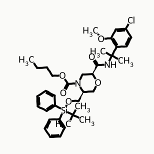 CCCCOC(=O)N1C[C@@H](C(=O)NC(C)(C)c2ccc(Cl)cc2OC)OC[C@H]1CO[Si](c1ccccc1)(c1ccccc1)C(C)(C)C